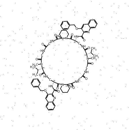 CC(C)[C@H]1C(=O)NC[C@@H](NC(=O)c2nc3ccccc3cc2OCc2ccccc2)C(=O)N2CCCC[C@H]2C(=O)NCC(=O)NCC(=O)N(C)[C@@H](C(C)C)C(=O)NC[C@@H](NC(=O)c2nc3ccccc3cc2OCc2ccccc2)C(=O)N2CCCC[C@H]2C(=O)NCC(=O)NCC(=O)N1C